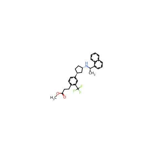 COC(=O)CCc1ccc([C@H]2CC[C@H](N[C@H](C)c3cccc4ccccc34)C2)cc1C(F)(F)F